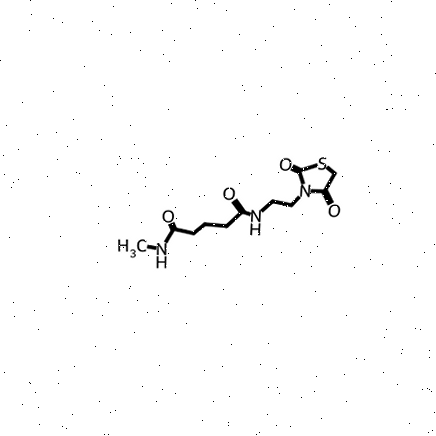 CNC(=O)CCCC(=O)NCCN1C(=O)CSC1=O